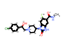 CNC(=O)c1cc2[nH]c(=O)n(C3CCN(CC(O)c4ccc(Cl)cc4)CC3)c2cc1F